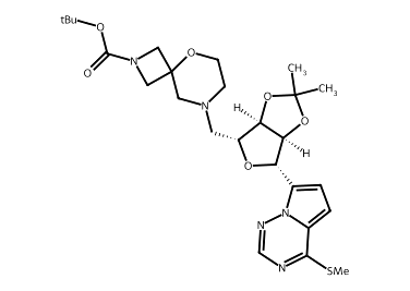 CSc1ncnn2c([C@@H]3O[C@H](CN4CCOC5(C4)CN(C(=O)OC(C)(C)C)C5)[C@H]4OC(C)(C)O[C@H]43)ccc12